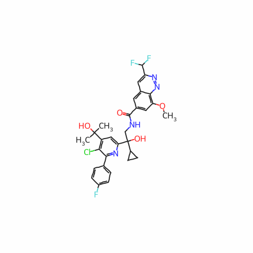 COc1cc(C(=O)NCC(O)(c2cc(C(C)(C)O)c(Cl)c(-c3ccc(F)cc3)n2)C2CC2)cc2cc(C(F)F)nnc12